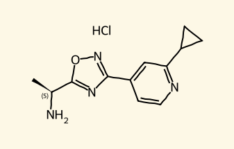 C[C@H](N)c1nc(-c2ccnc(C3CC3)c2)no1.Cl